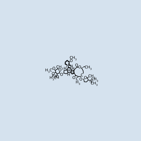 CC[C@H]1CCC[C@H](O[C@H]2CC[C@H](N(C)C)C(C)O2)[C@@H](C)C(=O)C2=C[C@H]3[C@@H]4C[C@H](O[C@@H]5OC(C)[C@H](OC)C(OC)C5OC)C[C@H]4c4c(nc5c(OC)cccn45)[C@H]3[C@@H]2CC(=O)O1